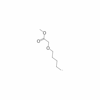 [CH2]CCCCOCC(=O)OC